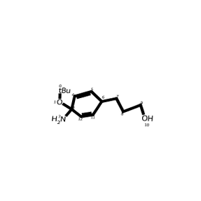 CC(C)(C)OC1(N)C=CC(CCCO)C=C1